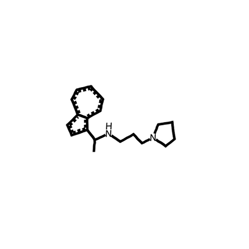 CC(NCCCN1CCCC1)c1ccc2cccccc1-2